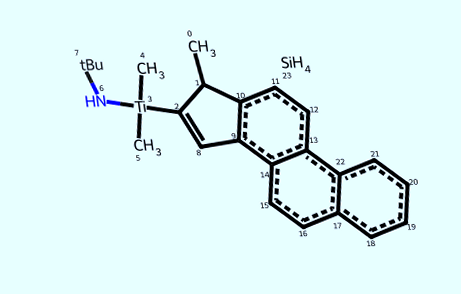 CC1[C]([Ti]([CH3])([CH3])[NH]C(C)(C)C)=Cc2c1ccc1c2ccc2ccccc21.[SiH4]